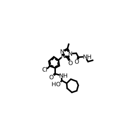 CCNC(=O)Cn1c(C)nn(-c2ccc(Cl)c(C(=O)NC(O)C3CCCCCC3)c2)c1=O